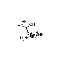 CCCCN.F.F.F.F.OB(O)O